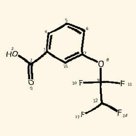 O=C(O)c1cccc(OC(F)(F)C(F)F)c1